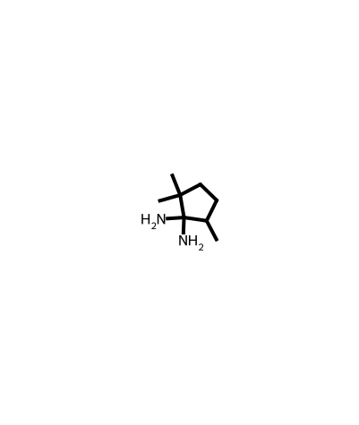 CC1CCC(C)(C)C1(N)N